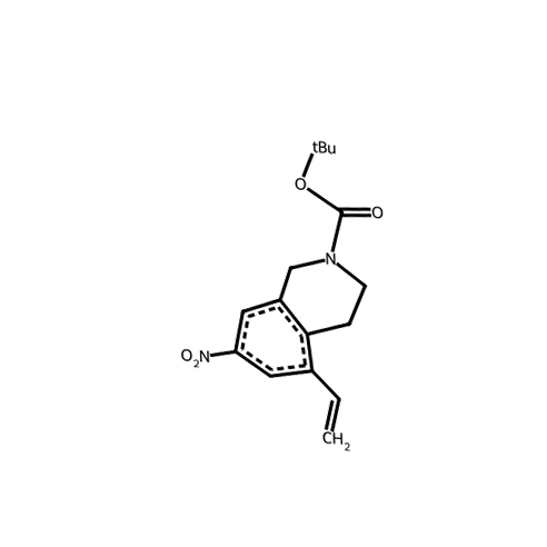 C=Cc1cc([N+](=O)[O-])cc2c1CCN(C(=O)OC(C)(C)C)C2